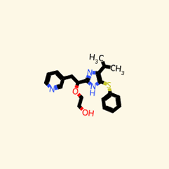 CC(C)c1nc(C(Cc2cccnc2)OCCO)[nH]c1Sc1ccccc1